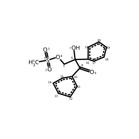 CS(=O)(=O)OCC(O)(C(=O)c1ccccc1)c1ccccc1